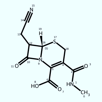 CNC(=O)C1=C(C(=O)O)N2C(=O)C(CC#N)[C@@H]2SC1